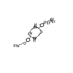 CCN(C)CCCOc1ccc(/C2=C3\C=CC(=N3)/C=c3/cc/c([nH]3)=C(\c3ccc(OCC[N+](CC)(CC)CC)cc3)C3=I/C(=C\c4ccc2[nH]4)C=C3)cc1